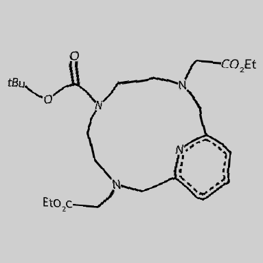 CCOC(=O)CN1CCN(C(=O)OC(C)(C)C)CCN(CC(=O)OCC)Cc2cccc(n2)C1